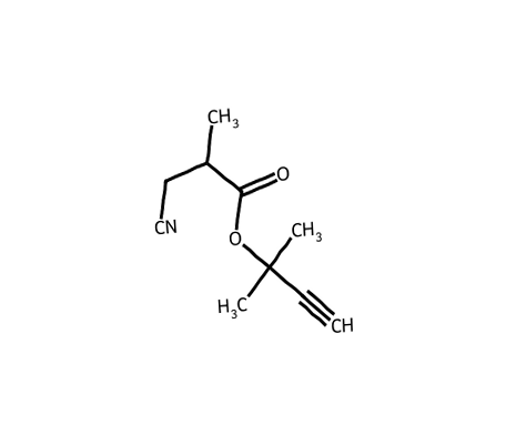 C#CC(C)(C)OC(=O)C(C)CC#N